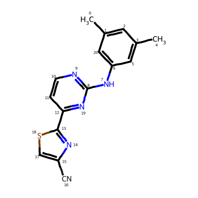 Cc1cc(C)cc(Nc2nccc(-c3nc(C#N)cs3)n2)c1